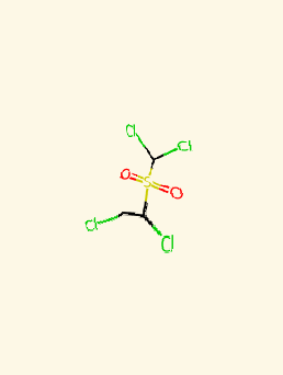 O=S(=O)(C(Cl)Cl)C(Cl)Cl